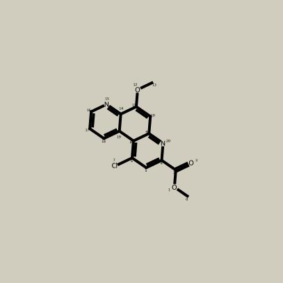 COC(=O)c1cc(Cl)c2c(cc(OC)c3ncccc32)n1